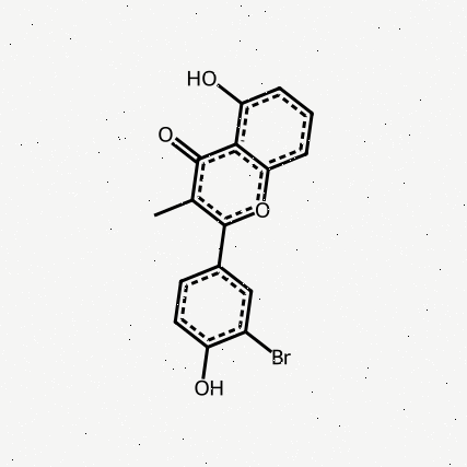 Cc1c(-c2ccc(O)c(Br)c2)oc2cccc(O)c2c1=O